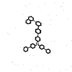 c1ccc(-c2ccc(N(c3ccc(-c4ccccc4)cc3)c3ccc(-c4ccc(-c5cccc(-c6cccc7ccccc67)c5)cc4)cc3)cc2)cc1